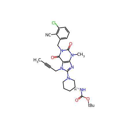 CC#CCn1c(N2CCC[C@@H](NC(=O)OC(C)(C)C)C2)nc2c1c(=O)n(Cc1cccc(Cl)c1C#N)c(=O)n2C